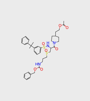 CC(=O)OCCC1CCN(C(=O)C(CSCCCNC(=O)OCc2ccccc2)NS(=O)(=O)c2cccc(C(C)(C)c3ccccc3)c2)CC1